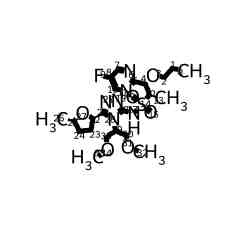 CCCO[C@@H](c1ncc(F)cn1)[C@H](C)S(=O)(=O)Nc1nnc([C@H]2CC[C@@H](C)O2)n1C(COC)COC